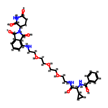 O=C1CCC(N2C(=O)c3cccc(NCCOCCOCCOCCNC(=O)C(NC(=O)c4ccccc4)C4CC4)c3C2=O)C(=O)N1